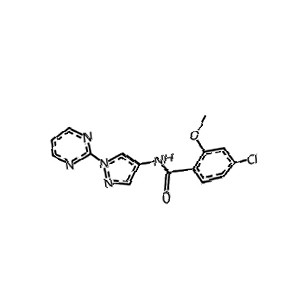 COc1cc(Cl)ccc1C(=O)Nc1cnn(-c2ncccn2)c1